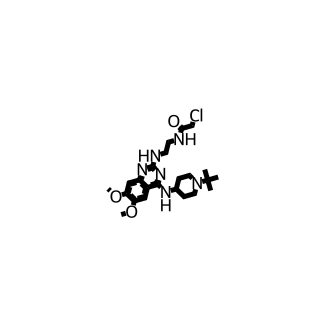 COc1cc2nc(NCCNC(=O)CCl)nc(NC3CCN(C(C)(C)C)CC3)c2cc1OC